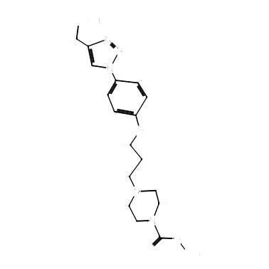 CC(C)(C)OC(=O)N1CCN(CCCOc2ccc(-n3cc(CC(=O)O)nn3)cc2)CC1